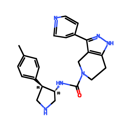 Cc1ccc([C@@H]2CNC[C@H]2NC(=O)N2CCc3[nH]nc(-c4ccncc4)c3C2)cc1